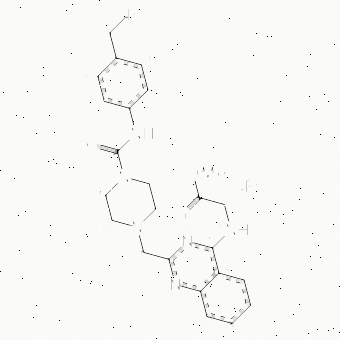 COC(=O)[C@@H](Nc1nc(CN2CCN(C(=O)Nc3ccc(CI)cc3)CC2)nc2ccccc12)C(C)C